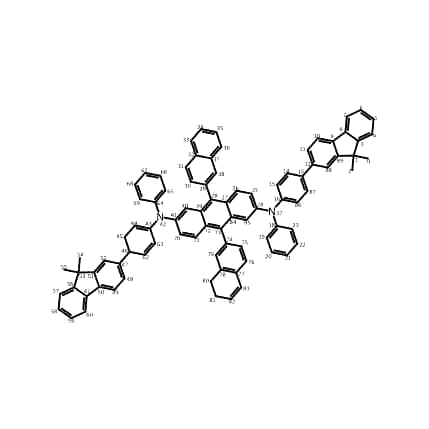 CC1(C)c2ccccc2-c2ccc(-c3ccc(N(c4ccccc4)c4ccc5c(-c6ccc7ccccc7c6)c6cc(N(C7=CCC(c8ccc9c(c8)C(C)(C)c8ccccc8-9)C=C7)c7ccccc7)ccc6c(-c6ccc7c(c6)CCC=C7)c5c4)cc3)cc21